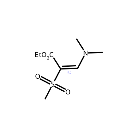 CCOC(=O)/C(=C\N(C)C)S(C)(=O)=O